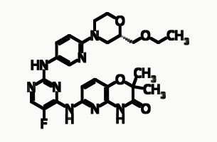 CCOC[C@@H]1CN(c2ccc(Nc3ncc(F)c(Nc4ccc5c(n4)NC(=O)C(C)(C)O5)n3)cn2)CCO1